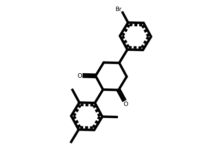 Cc1cc(C)c(C2C(=O)CC(c3cccc(Br)c3)CC2=O)c(C)c1